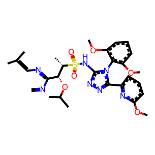 C=N/C(=N\C=C(C)C)[C@@H](OC(C)C)[C@H](C)S(=O)(=O)Nc1nnc(-c2cccc(OC)n2)n1-c1c(OC)cccc1OC